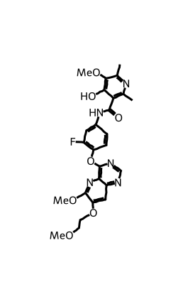 COCCOc1cc2ncnc(Oc3ccc(NC(=O)c4c(C)nc(C)c(OC)c4O)cc3F)c2nc1OC